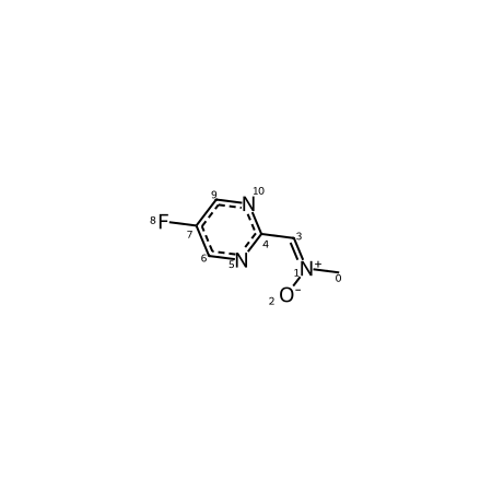 C[N+]([O-])=Cc1ncc(F)cn1